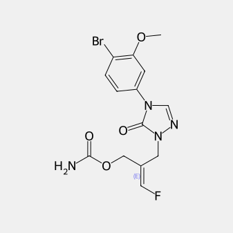 COc1cc(-n2cnn(C/C(=C\F)COC(N)=O)c2=O)ccc1Br